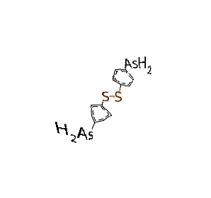 [AsH2]c1ccc(SSc2ccc([AsH2])cc2)cc1